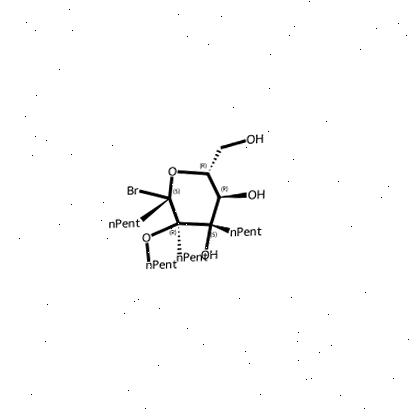 CCCCCO[C@@]1(CCCCC)[C@@](Br)(CCCCC)O[C@H](CO)[C@@H](O)[C@@]1(O)CCCCC